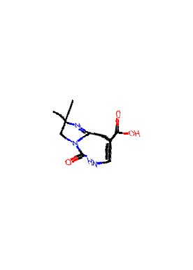 CC1(C)CN2C(=O)NC=C(C(=O)O)C2=N1